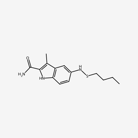 CCCCSNc1ccc2[nH]c(C(N)=O)c(C)c2c1